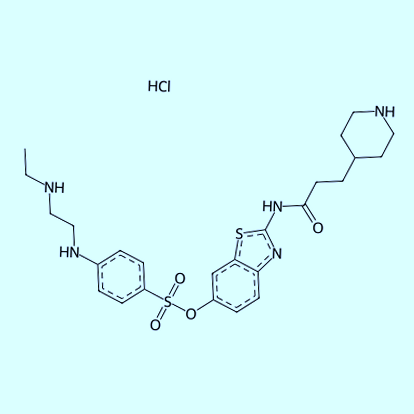 CCNCCNc1ccc(S(=O)(=O)Oc2ccc3nc(NC(=O)CCC4CCNCC4)sc3c2)cc1.Cl